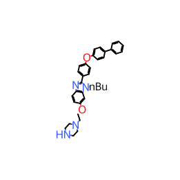 CCCCn1c(-c2ccc(Oc3ccc(-c4ccccc4)cc3)cc2)nc2ccc(OCCN3CCNCC3)cc21